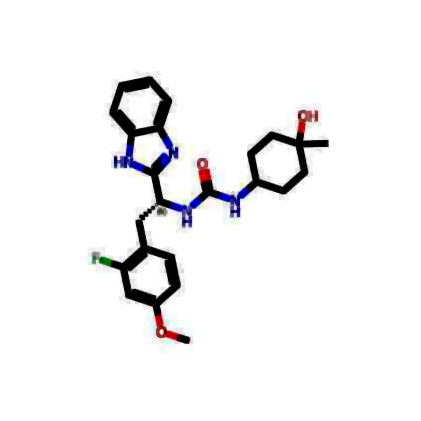 COc1ccc(C[C@@H](NC(=O)NC2CCC(C)(O)CC2)c2nc3ccccc3[nH]2)c(F)c1